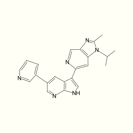 Cc1nc2cnc(-c3c[nH]c4ncc(-c5cccnc5)cc34)cc2n1C(C)C